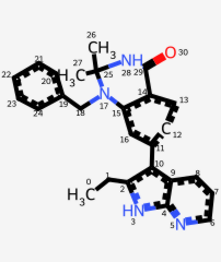 CCc1[nH]c2ncccc2c1-c1ccc2c(c1)N(Cc1ccccc1)C(C)(C)NC2=O